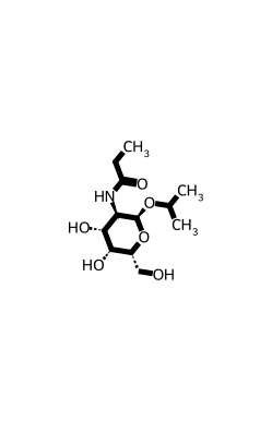 CCC(=O)N[C@H]1[C@@H](OC(C)C)O[C@H](CO)[C@H](O)[C@@H]1O